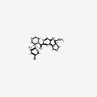 Nc1nc2cnc(C(=O)N3CCOC[C@@H]3c3ncc(Br)cc3F)cc2c2c1COC2